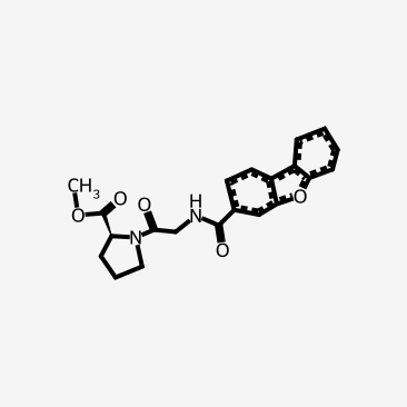 COC(=O)[C@@H]1CCCN1C(=O)CNC(=O)c1ccc2c(c1)oc1ccccc12